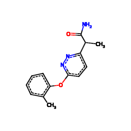 Cc1ccccc1Oc1ccc(C(C)C(N)=O)nn1